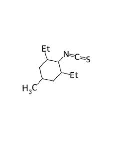 CCC1CC(C)CC(CC)C1N=C=S